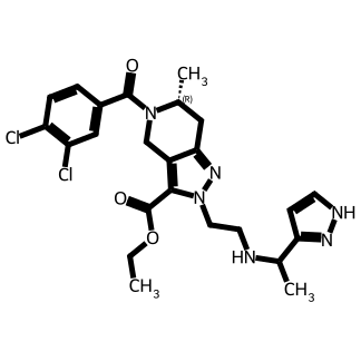 CCOC(=O)c1c2c(nn1CCNC(C)c1cc[nH]n1)C[C@@H](C)N(C(=O)c1ccc(Cl)c(Cl)c1)C2